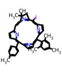 Cc1ccc(C2=C3C=CC(=N3)C=C3N=C(CC3(C)C)C(I)=C3C=CC(=N3)C(c3c(C)cc(C)cc3C)=C3C=CC2=N3)cc1